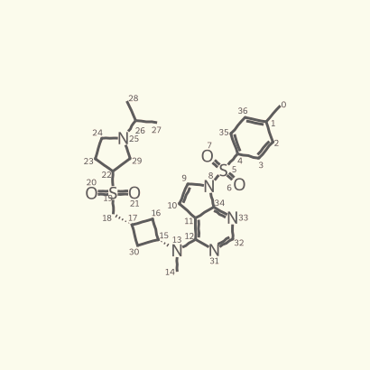 Cc1ccc(S(=O)(=O)n2ccc3c(N(C)[C@H]4C[C@@H](CS(=O)(=O)C5CCN(C(C)C)C5)C4)ncnc32)cc1